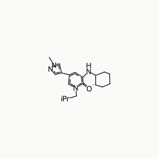 CC(C)Cn1cc(-c2cnn(C)c2)cc(NC2[CH]CCCC2)c1=O